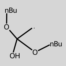 [CH2]C(O)(OCCCC)OCCCC